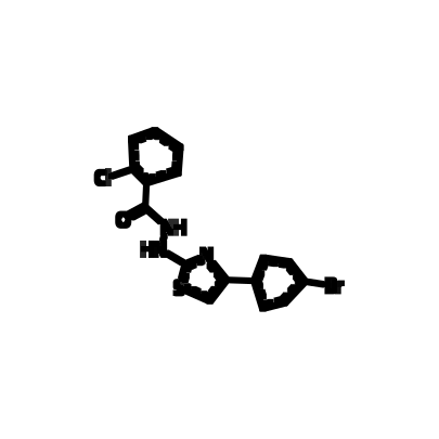 O=C(NNc1nc(-c2ccc(Br)cc2)cs1)c1ccccc1Cl